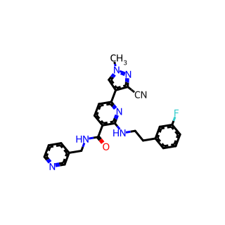 Cn1cc(-c2ccc(C(=O)NCc3cccnc3)c(NCCc3cccc(F)c3)n2)c(C#N)n1